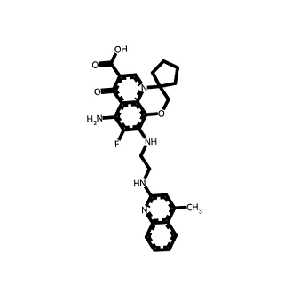 Cc1cc(NCCNc2c(F)c(N)c3c(=O)c(C(=O)O)cn4c3c2OCC42CCCC2)nc2ccccc12